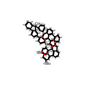 CC(C)(C)c1cc(-c2cccc3cccc(-c4ccccc4N(c4ccc(-c5ccc6c(c5)C(C)(c5ccccc5)c5ccccc5-6)cc4)c4ccccc4-c4cccc5cccc(-c6ccccc6)c45)c23)cc(C(C)(C)C)c1